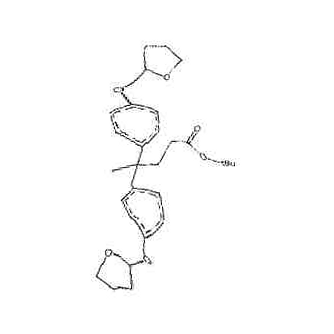 CC(C)(C)OC(=O)CCC(C)(c1ccc(OC2CCCO2)cc1)c1ccc(OC2CCCO2)cc1